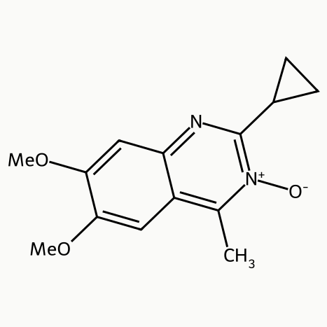 COc1cc2nc(C3CC3)[n+]([O-])c(C)c2cc1OC